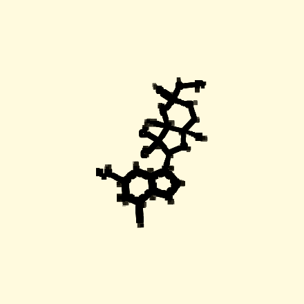 CC(C)OP1(=O)OC[C@H]2O[C@@H](n3cnc4c(=O)[nH]c(N)nc43)C(Cl)(Cl)[C@@H]2O1